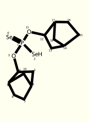 [Se]=P([SeH])(OC1CC2CCC1C2)OC1CC2CCC1C2